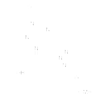 COCOCc1cn(Cc2cnc3c(c2)NC(c2cccc(O)c2)N=C3N2CCOCC2)nn1